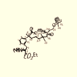 CCOC(=O)C(Cc1cccc(C(C)(CCCC(C)(C)CS(=O)(=O)CCO[Si](C)(C)C(C)(C)C)C(=O)OC(C)(C)C)c1)=[N+]=[N-]